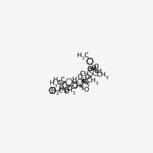 CCC(CC)(CO[C@H]1[C@H](OC)C[C@@]23COC[C@@]1(C)[C@@H]2CC[C@H]1C3=CC[C@@]2(C)[C@H](C(=O)OCc3ccccc3)[C@@](C)([C@H](C)C(C)C)CC[C@]12C)NS(=O)(=O)c1ccc(C)cc1